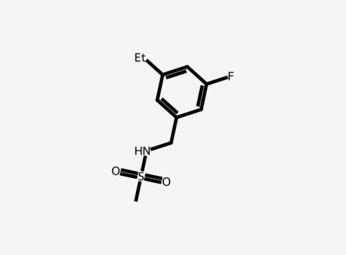 CCc1cc(F)cc(CNS(C)(=O)=O)c1